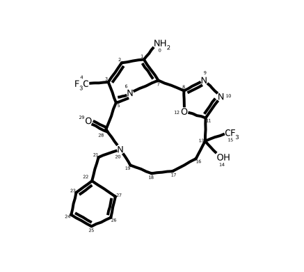 Nc1cc(C(F)(F)F)c2nc1-c1nnc(o1)C(O)(C(F)(F)F)CCCCN(Cc1ccccc1)C2=O